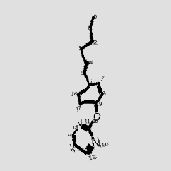 [CH2]CCCCCc1ccc(Oc2ncccn2)cc1